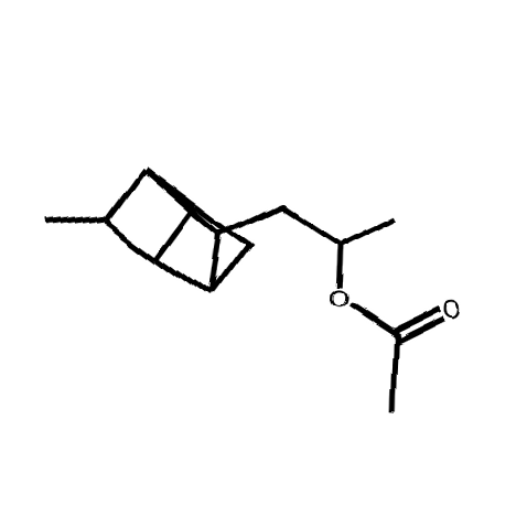 CC(=O)OC(C)CC1C2CC3C1C(C)C23